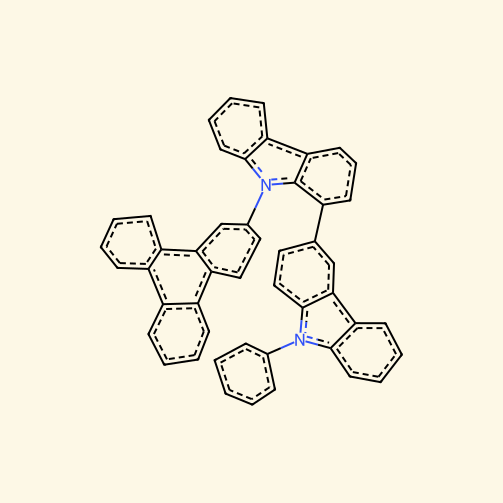 c1ccc(-n2c3ccccc3c3cc(-c4cccc5c6ccccc6n(-c6ccc7c8ccccc8c8ccccc8c7c6)c45)ccc32)cc1